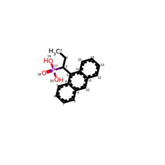 CCC(c1c2ccccc2cc2ccccc12)P(=O)(O)O